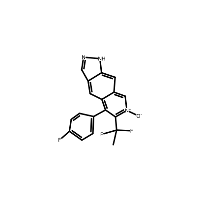 CC(F)(F)c1c(-c2ccc(F)cc2)c2cc3cn[nH]c3cc2c[n+]1[O-]